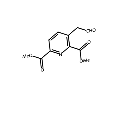 COC(=O)c1ccc(CC=O)c(C(=O)OC)n1